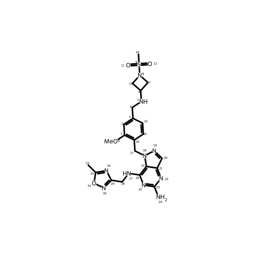 COc1cc(CNC2CN(S(C)(=O)=O)C2)ccc1Cn1ncc2nc(N)nc(NCc3noc(C)n3)c21